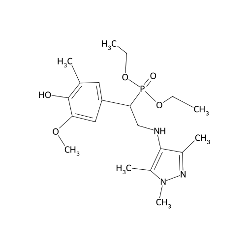 CCOP(=O)(OCC)C(CNc1c(C)nn(C)c1C)c1cc(C)c(O)c(OC)c1